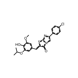 COc1cc(/C=c2\sc3nc(-c4ccc(Cl)cc4)cn3c2=O)cc(OC(C)C)c1O